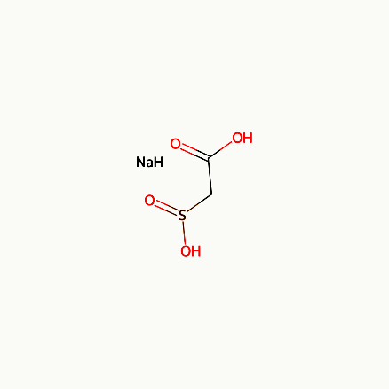 O=C(O)CS(=O)O.[NaH]